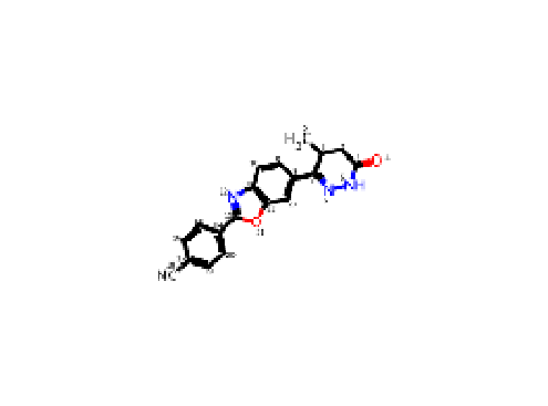 CC1CC(=O)NN=C1c1ccc2nc(-c3ccc(C#N)cc3)oc2c1